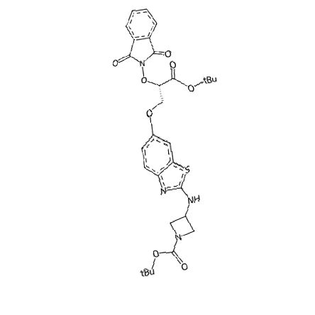 CC(C)(C)OC(=O)[C@H](COc1ccc2nc(NC3CN(C(=O)OC(C)(C)C)C3)sc2c1)ON1C(=O)c2ccccc2C1=O